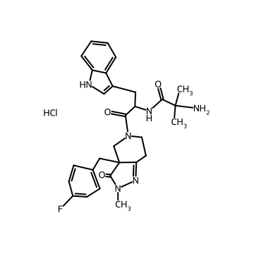 CN1N=C2CCN(C(=O)C(Cc3c[nH]c4ccccc34)NC(=O)C(C)(C)N)CC2(Cc2ccc(F)cc2)C1=O.Cl